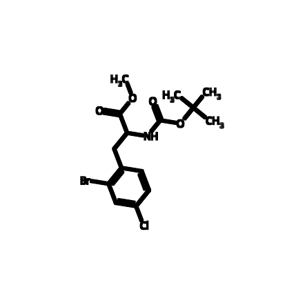 COC(=O)C(Cc1ccc(Cl)cc1Br)NC(=O)OC(C)(C)C